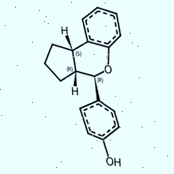 Oc1ccc([C@@H]2Oc3ccccc3[C@H]3CCC[C@H]32)cc1